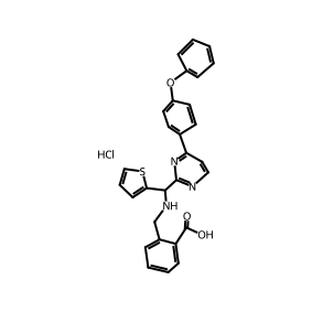 Cl.O=C(O)c1ccccc1CNC(c1nccc(-c2ccc(Oc3ccccc3)cc2)n1)c1cccs1